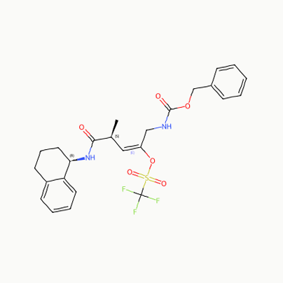 C[C@@H](/C=C(\CNC(=O)OCc1ccccc1)OS(=O)(=O)C(F)(F)F)C(=O)N[C@@H]1CCCc2ccccc21